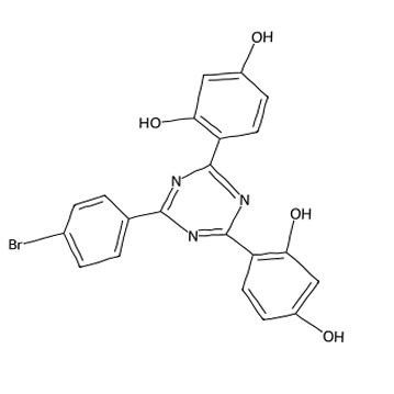 Oc1ccc(-c2nc(-c3ccc(Br)cc3)nc(-c3ccc(O)cc3O)n2)c(O)c1